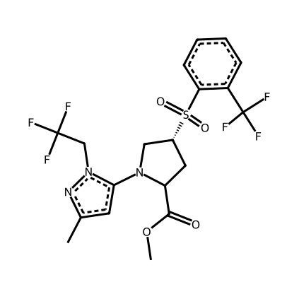 COC(=O)C1C[C@@H](S(=O)(=O)c2ccccc2C(F)(F)F)CN1c1cc(C)nn1CC(F)(F)F